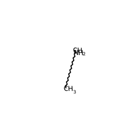 [CH2]NCCCCCCCCCCCCCCCCCC